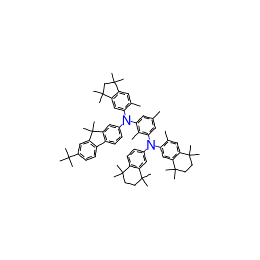 Cc1cc(N(c2ccc3c(c2)C(C)(C)CCC3(C)C)c2cc3c(cc2C)C(C)(C)CCC3(C)C)c(C)c(N(c2ccc3c(c2)C(C)(C)c2cc(C(C)(C)C)ccc2-3)c2cc3c(cc2C)C(C)(C)CC3(C)C)c1